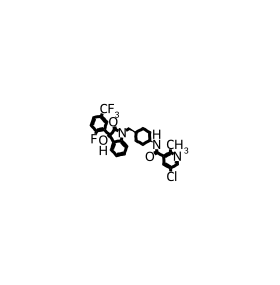 Cc1ncc(Cl)cc1C(=O)N[C@H]1CC[C@H](CN2C(=O)C(O)(c3cc(C(F)(F)F)ccc3F)c3ccccc32)CC1